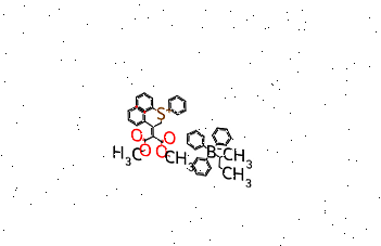 CCC(C)[B-](c1ccccc1)(c1ccccc1)c1ccccc1.COC(=O)C(C(=O)OC)=C(C[S+](c1ccccc1)c1ccccc1)c1ccccc1